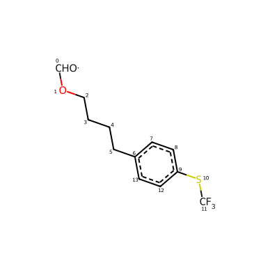 O=[C]OCCCCc1ccc(SC(F)(F)F)cc1